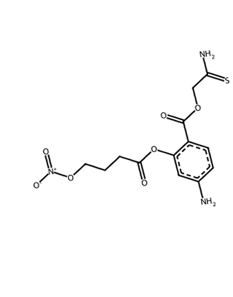 NC(=S)COC(=O)c1ccc(N)cc1OC(=O)CCCO[N+](=O)[O-]